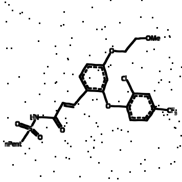 CCCCCS(=O)(=O)NC(=O)C=Cc1ccc(OCCOC)cc1Oc1ccc(C(F)(F)F)cc1Cl